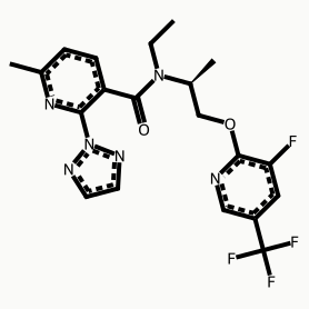 CCN(C(=O)c1ccc(C)nc1-n1nccn1)[C@@H](C)COc1ncc(C(F)(F)F)cc1F